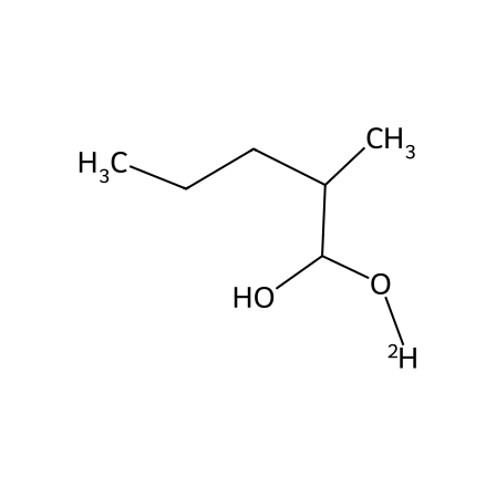 [2H]OC(O)C(C)CCC